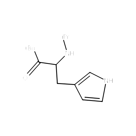 CC(C)NC(Cc1cc[nH]c1)C(=O)C(C)(C)C